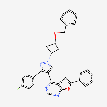 Fc1ccc(-c2nn([C@H]3C[C@H](OCc4ccccc4)C3)cc2-c2ncnc3oc(-c4ccccc4)cc23)cc1